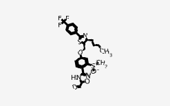 CCCCc1nc(-c2ccc(C(F)(F)F)cc2)sc1COc1ccc(C2=NOC(C=O)N2)c([S+](C)[O-])c1